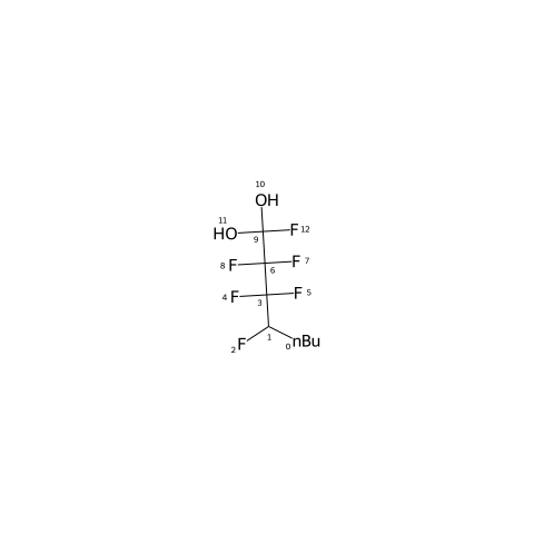 CCCCC(F)C(F)(F)C(F)(F)C(O)(O)F